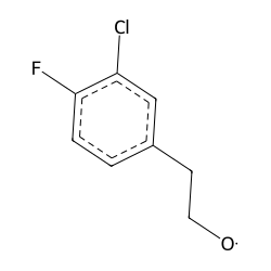 [O]CCc1ccc(F)c(Cl)c1